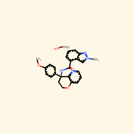 Cn1cc2c(C(=O)N[C@]3(c4ccc(OC(F)(F)F)cc4)CCOc4cccnc43)cccc2n1.O=CO